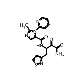 Cc1ncc(C(=O)NC(Cc2ccsn2)C(=O)C(N)=O)n1-c1ccccn1